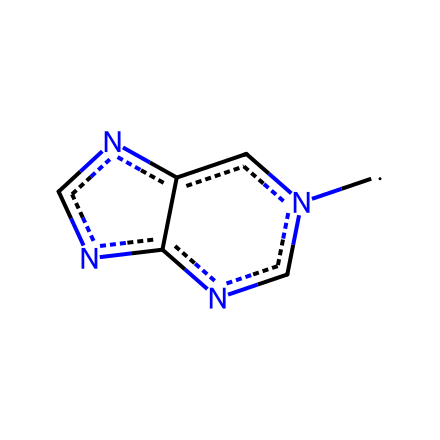 [CH2]n1cnc2ncnc-2c1